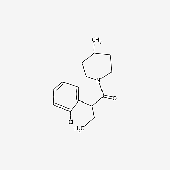 [CH2]CC(C(=O)N1CCC(C)CC1)c1ccccc1Cl